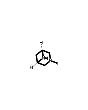 IN1C[C@H]2C[C@@H](C1)N2I